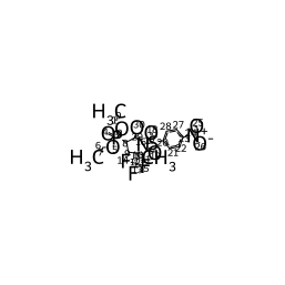 CCOP(=O)(OCC)C1C[C@@](C)(C(F)(F)F)N(S(=O)(=O)c2ccc([N+](=O)[O-])cc2)C1=O